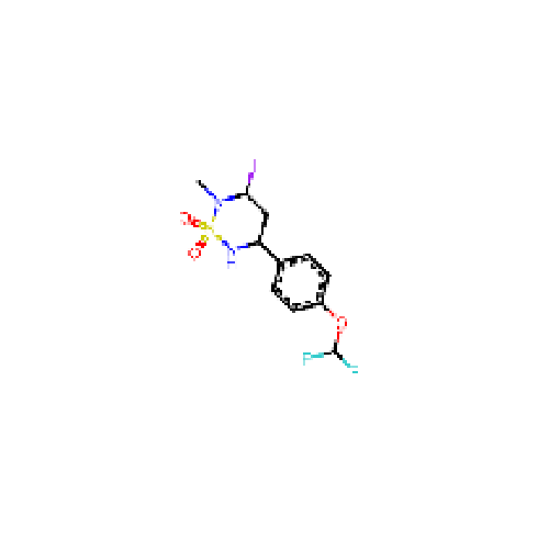 CN1C(I)CC(c2ccc(OC(F)F)cc2)NS1(=O)=O